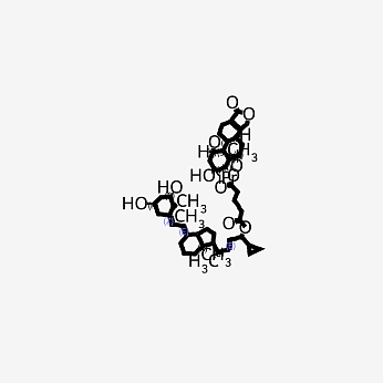 CC(C)[C@]1(O)C[C@@H]2O[C@]23[C@]2(O[C@H]2C[C@H]2C4=C(CC[C@@]23C)C(=O)OC4)[C@@H]1OC(=O)CCCC(=O)OC(/C=C/[C@H](C)C1CCC2/C(=C/C=C3/C[C@@H](O)C[C@H](O)C3(C)C)CCC[C@@]21C)C1CC1